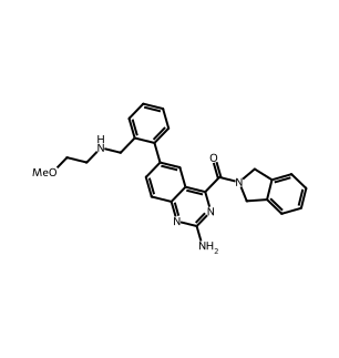 COCCNCc1ccccc1-c1ccc2nc(N)nc(C(=O)N3Cc4ccccc4C3)c2c1